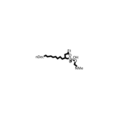 CCCCCCCCCCCCCCCCCCC(COP(=O)(O)OCCNC)CC(=O)CC